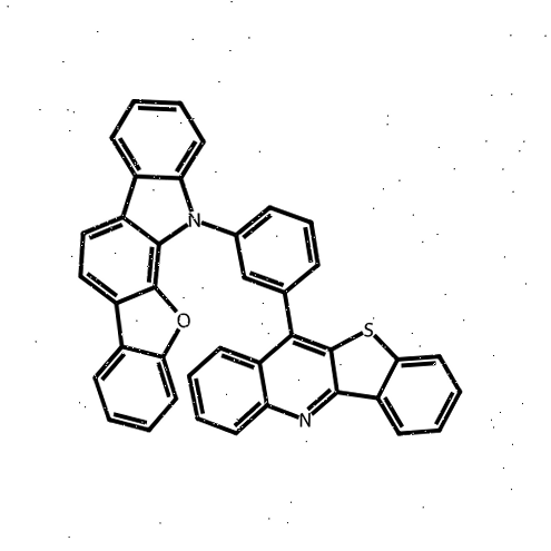 c1cc(-c2c3ccccc3nc3c2sc2ccccc23)cc(-n2c3ccccc3c3ccc4c5ccccc5oc4c32)c1